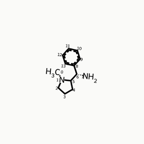 CN1CCCC1[C@@H](N)c1ccccc1